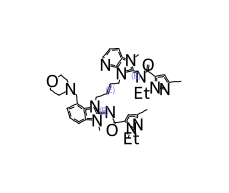 CCn1nc(C)cc1C(=O)/N=c1\n(C)c2cccnc2n1C/C=C/Cn1/c(=N/C(=O)c2cc(C)nn2CC)n(C)c2cccc(CN3CCOCC3)c21